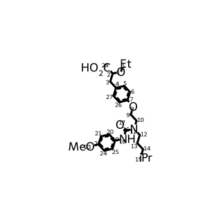 CCOC(Cc1ccc(OCCN(CCCC(C)C)C(=O)Nc2ccc(OC)cc2)cc1)C(=O)O